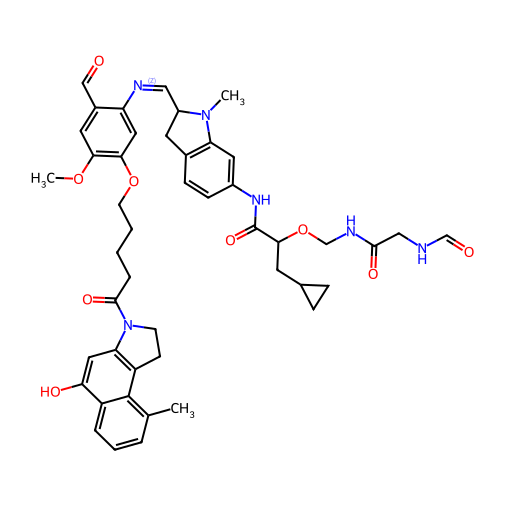 COc1cc(C=O)c(/N=C\C2Cc3ccc(NC(=O)C(CC4CC4)OCNC(=O)CNC=O)cc3N2C)cc1OCCCCC(=O)N1CCc2c1cc(O)c1cccc(C)c21